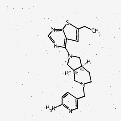 Nc1ccc(CN2CC[C@@H]3CN(c4ncnc5sc(CC(F)(F)F)cc45)C[C@@H]3C2)cn1